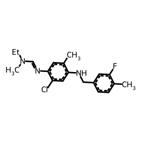 CCN(C)C=Nc1cc(C)c(NCc2ccc(C)c(F)c2)cc1Cl